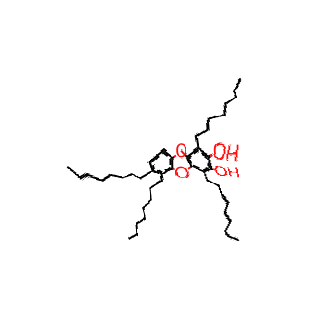 CCCCCCCCc1ccc2c(c1CCCCCCCC)Oc1c(CCCCCCCC)c(O)c(O)c(CCCCCCCC)c1O2